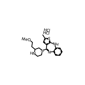 COCCC1CN(C2=Nc3ccccc3Nc3sc(C)cc32)CCN1.Cl.Cl